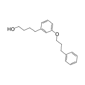 OCCCCc1cccc(OCCCc2ccccc2)c1